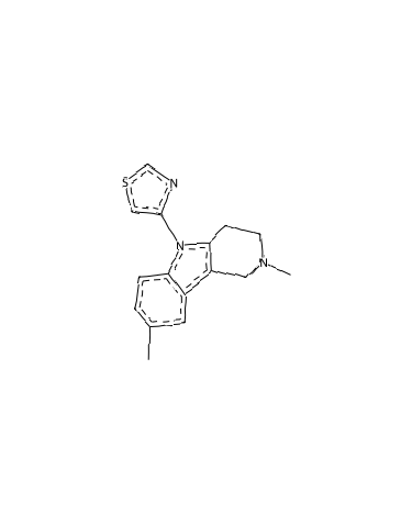 Cc1ccc2c(c1)c1c(n2-c2cscn2)CCN(C)C1